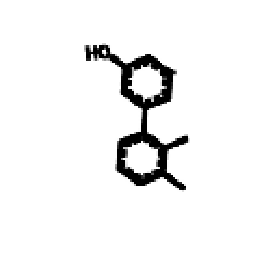 Cc1cccc(-c2c[c]cc(O)c2)c1C